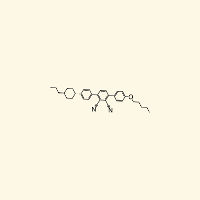 CCCCCOc1ccc(-c2ccc(-c3ccc([C@H]4CC[C@H](CCC)CC4)cc3)c(C#N)c2C#N)cc1